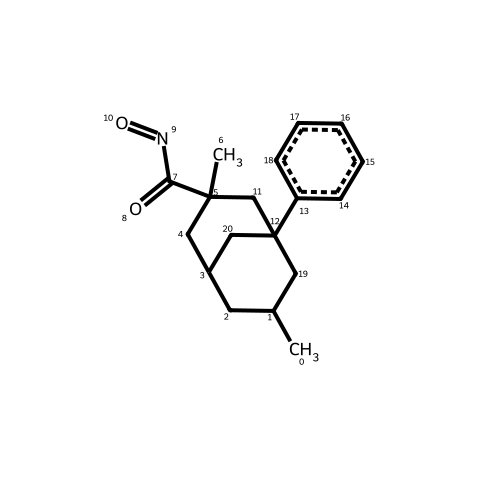 CC1CC2CC(C)(C(=O)N=O)CC(c3ccccc3)(C1)C2